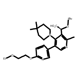 CCOCCOc1ccc(-c2cnc(C)c([C@H](OC(C)(C)C)C(=O)O)c2N2CCC(C)(C)CC2)cn1